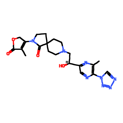 CC1=C(N2CCC3(CCN(C[C@H](O)c4cnc(-n5cnnn5)c(C)n4)CC3)C2=O)COC1=O